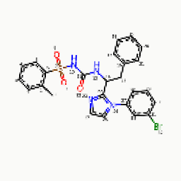 Cc1ccccc1S(=O)(=O)NC(=O)NC(Cc1ccccc1)c1nccn1-c1cccc(Br)c1